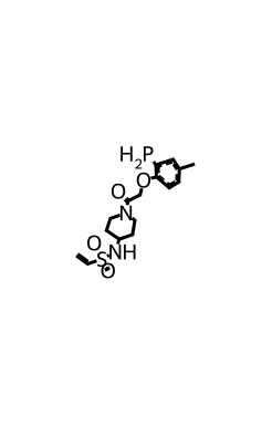 C=CS(=O)(=O)NC1CCN(C(=O)COc2ccc(C)cc2P)CC1